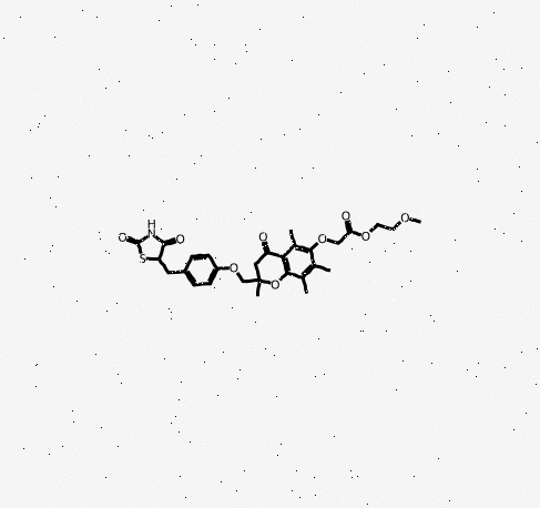 COCCOC(=O)COc1c(C)c(C)c2c(c1C)C(=O)CC(C)(COc1ccc(CC3SC(=O)NC3=O)cc1)O2